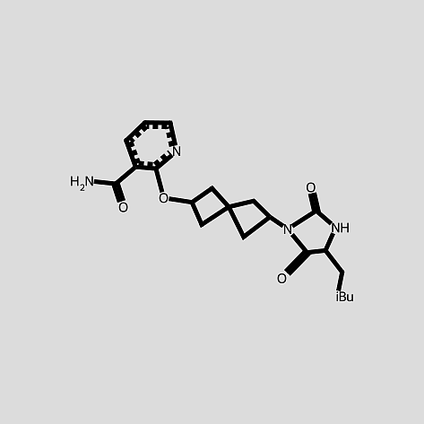 CCC(C)CC1NC(=O)N(C2CC3(CC(Oc4ncccc4C(N)=O)C3)C2)C1=O